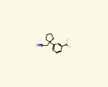 N#CCC1(c2cccc(C(F)F)c2)CCCC1